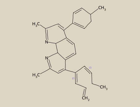 C=C/C=C(\C=C/CC)C1=CC(C)=NC2C1=CC=C1C(C3=CCC(C)C=C3)=CC(C)=NC12